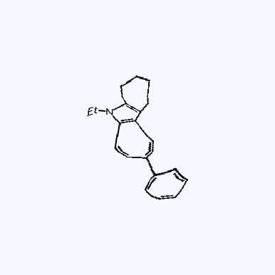 CCn1c2c(c3cc(-c4ccccc4)ccc31)CCCC2